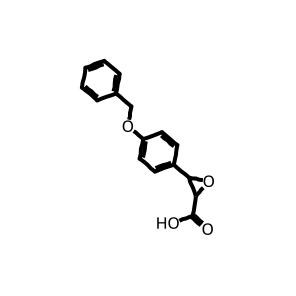 O=C(O)C1OC1c1ccc(OCc2ccccc2)cc1